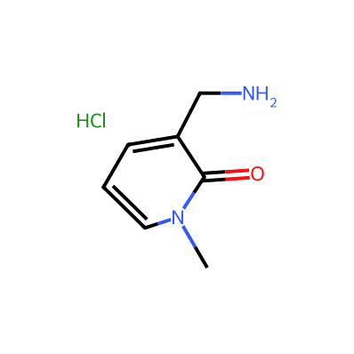 Cl.Cn1cccc(CN)c1=O